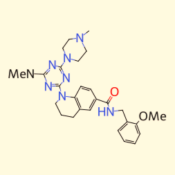 CNc1nc(N2CCN(C)CC2)nc(N2CCCc3cc(C(=O)NCc4ccccc4OC)ccc32)n1